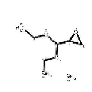 CCOC(OCC)C1CO1.[SiH4]